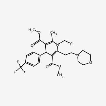 COC(=O)C1=C(C)N(CCl)C(CCN2CCOCC2)=C(C(=O)OC)C1c1ccc(C(F)(F)F)cc1